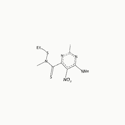 CCSN(C)C(=S)c1nc(C)nc(NC)c1[N+](=O)[O-]